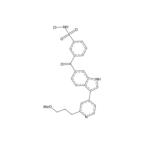 COCCCc1cc(-c2c[nH]c3cc(C(=O)c4cccc(S(=O)(=O)NCl)c4)ccc23)ccn1